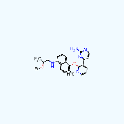 CCOC(CNc1cccc2c(Oc3ncccc3-c3ccnc(N)n3)c(C)ccc12)C(F)(F)F